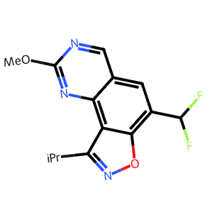 COc1ncc2cc(C(F)F)c3onc(C(C)C)c3c2n1